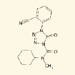 CN(C(=O)n1nnn(-c2ccccc2C#N)c1=O)C1CCCCC1